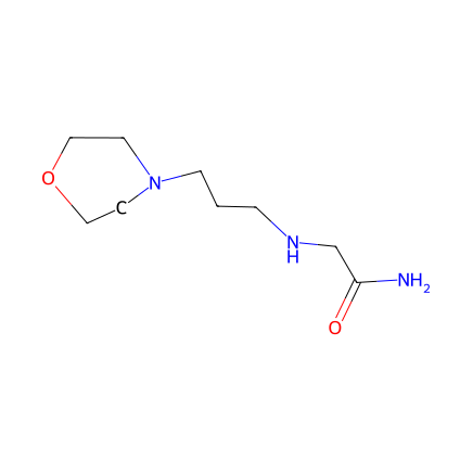 NC(=O)CNCCCN1CCOCC1